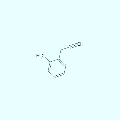 C#CCc1ccccc1C